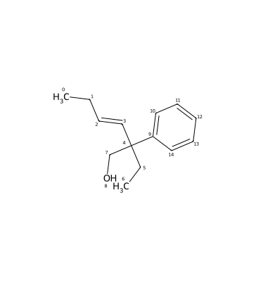 CCC=CC(CC)(CO)c1ccccc1